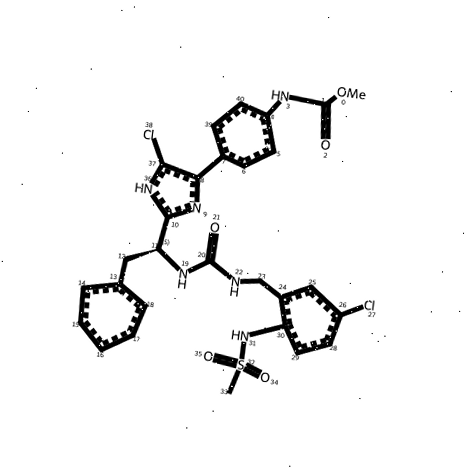 COC(=O)Nc1ccc(-c2nc([C@H](Cc3ccccc3)NC(=O)NCc3cc(Cl)ccc3NS(C)(=O)=O)[nH]c2Cl)cc1